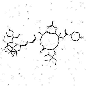 CC[C@H](O[Si](CC)(CC)CC)[C@@H](C)[C@H]1O[C@@H]1C[C@](C)(/C=C/C=C(\C)[C@H]1OC(=O)C[C@H](O[Si](CC)(CC)CC)CC[C@@](C)(OC(=O)N2CCNCC2)[C@@H](OC(C)=O)/C=C/[C@@H]1C)O[Si](CC)(CC)CC